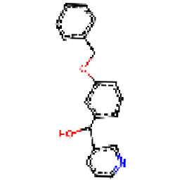 OC(c1cccnc1)c1cccc(OCc2ccccc2)c1